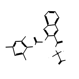 CCCC(CCC)(NC(=O)c1cc2ccccc2cc1NC(=O)Nc1c(C)cc(C)cc1C)C(=O)OC